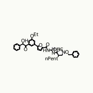 CCCCCC(CN(C=O)OCc1ccccc1)C(=O)NCNC(=O)c1ccc(-c2cc(OCC)cc(C(=O)C(O)c3ccccc3)c2)o1